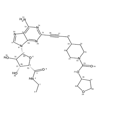 CCNC(=O)[C@H]1O[C@@H](n2cnc3c(N)nc(C#CCC4CCN(C(=O)OC5CCOC5)CC4)nc32)C(O)[C@H]1O